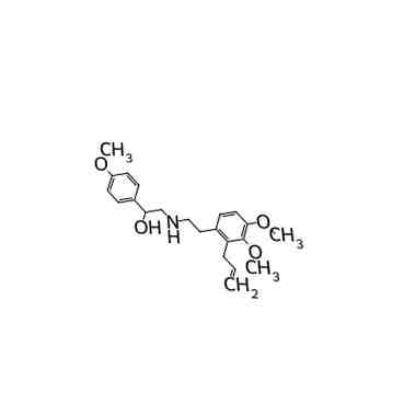 C=CCc1c(CCNCC(O)c2ccc(OC)cc2)ccc(OC)c1OC